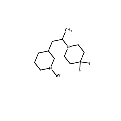 CC(C)N1CCCC(CC(C)N2CCC(F)(F)CC2)C1